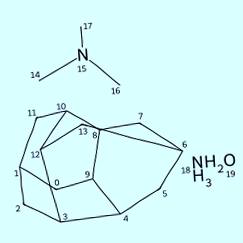 C1C2CC3C4CC5CC(C14)C(C2)C3C5.CN(C)C.N.O